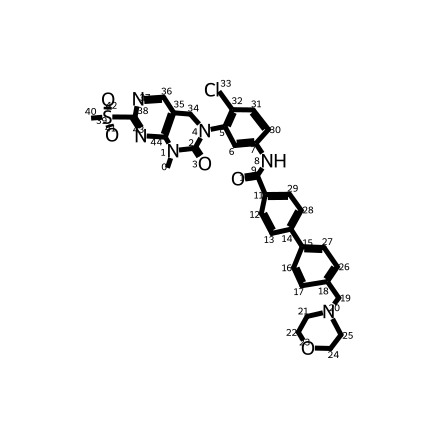 CN1C(=O)N(c2cc(NC(=O)c3ccc(-c4ccc(CN5CCOCC5)cc4)cc3)ccc2Cl)Cc2cnc(S(C)(=O)=O)nc21